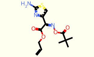 C=CCOC(=O)/C(=N\OC(=O)C(C)(C)C)c1csc(N)n1